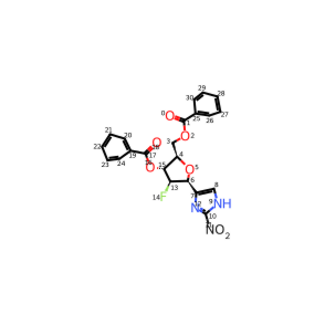 O=C(OC[C@H]1O[C@@H](c2c[nH]c([N+](=O)[O-])n2)[C@@H](F)[C@@H]1OC(=O)c1ccccc1)c1ccccc1